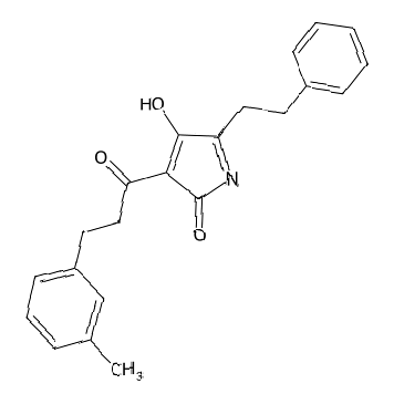 Cc1cccc(CCC(=O)C2=C(O)C(CCc3ccccc3)=NC2=O)c1